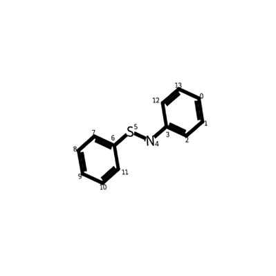 c1ccc([N]Sc2ccccc2)cc1